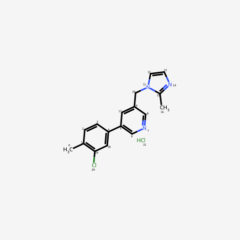 Cc1ccc(-c2cncc(Cn3ccnc3C)c2)cc1Cl.Cl